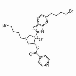 O=C(OC1CN(CCCCBr)C[N+]1([O-])c1nc2cc(CCCCBr)ccc2s1)c1ccncc1